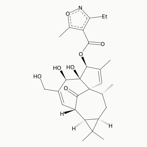 CCc1noc(C)c1C(=O)O[C@H]1C(C)=C[C@]23C(=O)[C@@H](C=C(CO)[C@@H](O)[C@]12O)[C@H]1[C@@H](C[C@H]3C)C1(C)C